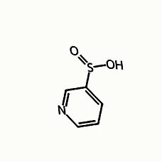 O=S(O)c1cccnc1